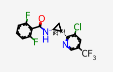 O=C(N[C@@H]1C[C@@H]1c1ncc(C(F)(F)F)cc1Cl)c1c(F)cccc1F